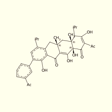 CC(=O)C1=C(O)C(C(C)C)[C@@]2(C)C[C@@]3(C)Cc4c(C(C)C)cc(-c5cccc(C(C)=O)c5)c(O)c4C(=O)C3=C(O)[C@@]2(O)C1=O